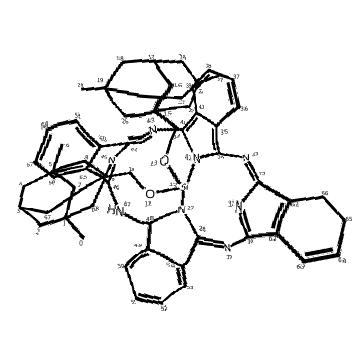 CC12CC3CC(C)(C1)CC(CO[Si]1(OCC45CC6CC(C)(CC(C)(C6)C4)C5)N4/C5=N\C6=NC(=N\c7c8ccccc8c(n71)/N=C1\N=C(NC4c4ccccc45)c4ccccc41)/C1=C6C=CCC1)(C3)C2